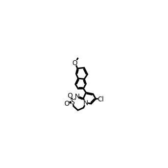 COc1ccc2cc(C3=CC(Cl)=CN4CCCS(=O)(=O)N=C34)ccc2c1